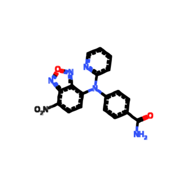 NC(=O)c1ccc(N(c2ccccn2)c2ccc([N+](=O)[O-])c3nonc23)cc1